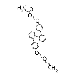 C=CCOCCOc1ccc(-c2ccccc2-c2ccccc2-c2ccc(OCCOC(=O)C=C)cc2)cc1